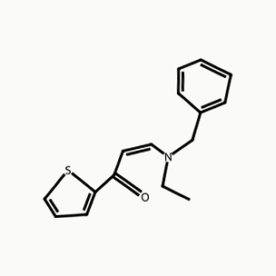 CCN(/C=C\C(=O)c1cccs1)Cc1ccccc1